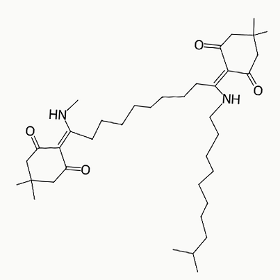 CNC(CCCCCCCCC(NCCCCCCCCC(C)C)=C1C(=O)CC(C)(C)CC1=O)=C1C(=O)CC(C)(C)CC1=O